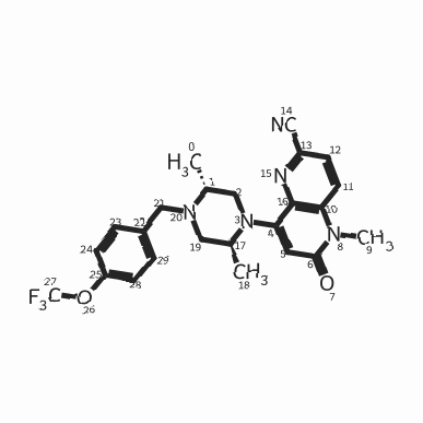 C[C@@H]1CN(c2cc(=O)n(C)c3ccc(C#N)nc23)[C@@H](C)CN1Cc1ccc(OC(F)(F)F)cc1